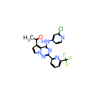 CC(=O)c1ccn2nc(-c3cccc(C(F)(F)F)n3)nc(Nc3ccnc(Cl)c3)c12